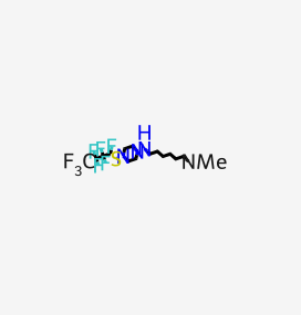 CNCCCCCCNN1CCN(SC(F)C(F)(F)C(F)(F)C(F)(F)F)CC1